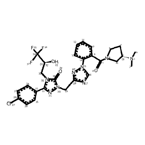 CN(C)[C@H]1CCN(C(=O)c2ccccc2-n2cnc(Cn3nc(-c4ccc(Cl)cc4)n(C[C@H](O)C(F)(F)F)c3=O)n2)C1